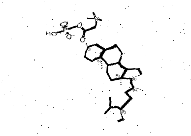 CC[C@H](CC[C@@H](C)[C@H]1CCC2C3CCC4C[C@@H](OC(C[N+](C)(C)C)OP(=O)([O-])O)CC[C@]4(C)C3CC[C@@]21C)C(C)C